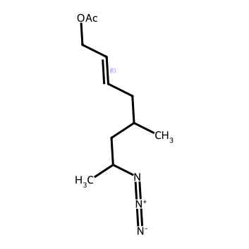 CC(=O)OC/C=C/CC(C)CC(C)N=[N+]=[N-]